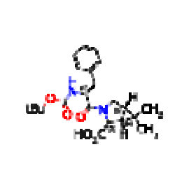 CC(C)(C)OC(=O)N[C@@H](Cc1ccccc1)C(=O)N1C[C@H]2[C@@H]([C@H]1C(=O)O)C2(C)C